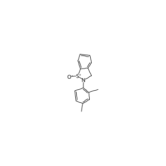 Cc1ccc(N2Cc3ccccc3[S+]2[O-])c(C)c1